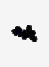 C1=CC2=CC=CC(n3c(-c4cccc(-c5c6ccccc6c(-c6ccc7c(-c8ccc9ccccc9c8)c8ccccc8c(-c8ccc9ccccc9c8)c7c6)c6ccccc56)c4)nc4ccccc43)C2C=C1